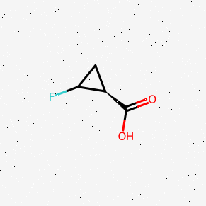 O=C(O)[C@@H]1CC1F